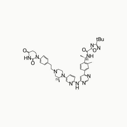 Cc1cc(-c2cc(Nc3ccc(N4CCN(CCc5ccc(N6CCC(=O)NC6=O)cc5)C[C@@H]4C)cn3)ncn2)ccc1[C@@H](C)NC(=O)c1nc(C(C)(C)C)no1